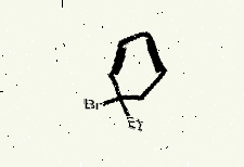 CCC1(Br)C=CC=CC1